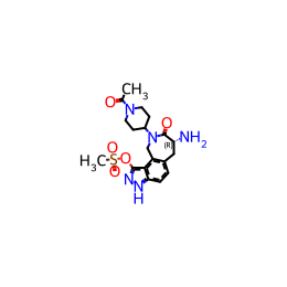 CC(=O)N1CCC(N2Cc3c(ccc4[nH]nc(OS(C)(=O)=O)c34)C[C@@H](N)C2=O)CC1